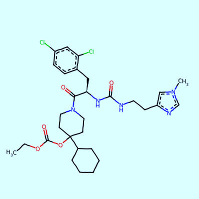 CCOC(=O)OC1(C2CCCCC2)CCN(C(=O)[C@@H](Cc2ccc(Cl)cc2Cl)NC(=O)NCCc2cn(C)cn2)CC1